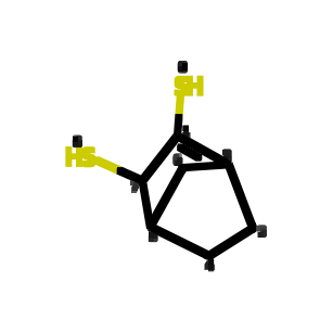 SC1=C2CCC(C2)C1S